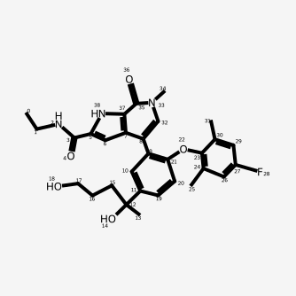 CCNC(=O)c1cc2c(-c3cc(C(C)(O)CCCO)ccc3Oc3c(C)cc(F)cc3C)cn(C)c(=O)c2[nH]1